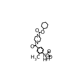 Cc1cc(C(=O)N2CCN(C(=O)OC3CCCCC3)CC2)ccc1N[SH](=O)=O